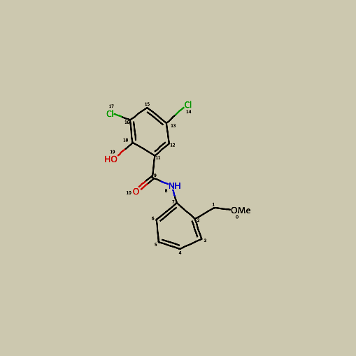 COCc1ccccc1NC(=O)c1cc(Cl)cc(Cl)c1O